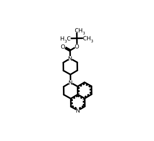 CC(C)(C)OC(=O)N1CCC(N2CCc3cncc4cccc2c34)CC1